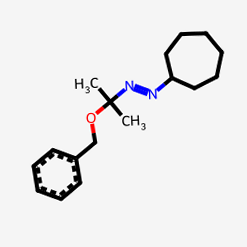 CC(C)(N=NC1CCCCCC1)OCc1ccccc1